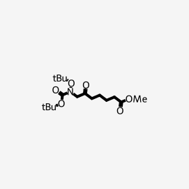 COC(=O)CCCCC(=O)CN(OC(C)(C)C)C(=O)OC(C)(C)C